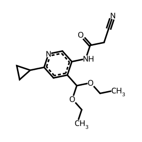 CCOC(OCC)c1cc(C2CC2)ncc1NC(=O)CC#N